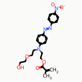 C=C(C)C(=O)OCCN(CCOCCO)c1ccc(/N=N/c2ccc([N+](=O)[O-])cc2)cc1